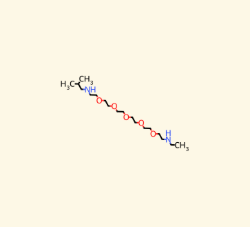 CCNCCOCCOCCOCCOCCOCCNCC(C)C